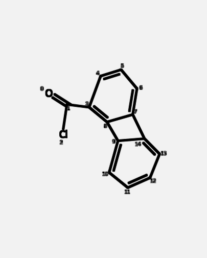 O=C(Cl)c1cccc2c1-c1ccccc1-2